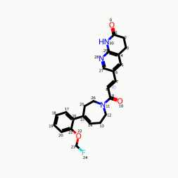 O=C1CCc2cc(/C=C/C(=O)N3CCC=C(c4ccccc4OCF)CC3)cnc2N1